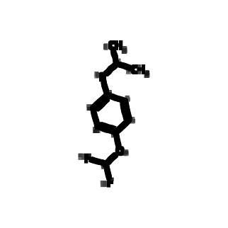 CC(C)Sc1c[c]c(OC(F)F)cc1